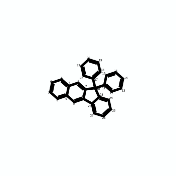 [c]1c2c(cc3ccccc13)C(c1ccccc1)(c1ccccc1)c1ccccc1-2